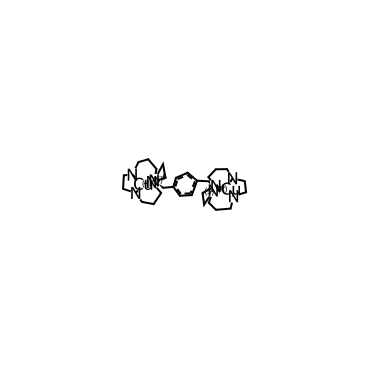 c1cc(C[N@@+]23CCC[N]4CC[N]5CCC[N](CC2)[Cu@@]543)ccc1C[N@@+]12CCC[N]3CC[N]4CCC[N](CC1)[Cu@@]432